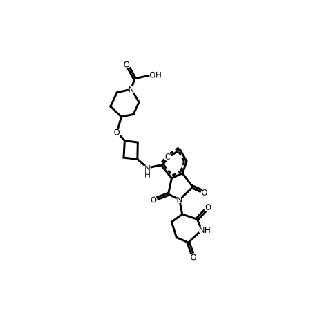 O=C1CCC(N2C(=O)c3cccc(NC4CC(OC5CCN(C(=O)O)CC5)C4)c3C2=O)C(=O)N1